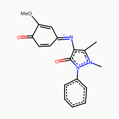 COC1=C/C(=N/c2c(C)n(C)n(-c3ccccc3)c2=O)C=CC1=O